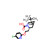 CC(C)(C)[C@@]12C[C@@H]1C[C@@H](CCOc1ccc(F)cn1)N(C(=O)O)C2